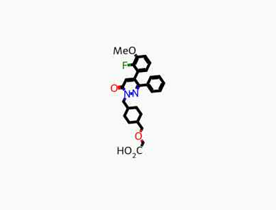 COc1cccc(-c2cc(=O)n(CC3CCC(COCC(=O)O)CC3)nc2-c2ccccc2)c1F